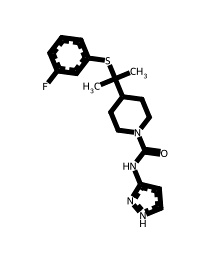 CC(C)(Sc1cccc(F)c1)C1CCN(C(=O)Nc2cc[nH]n2)CC1